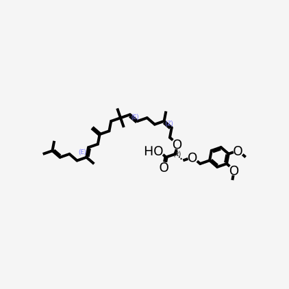 C=C(C/C=C(\C)CCC=C(C)C)CCC(C)(C)/C=C/CC/C(C)=C\CO[C@H](COCc1ccc(OC)c(OC)c1)C(=O)O